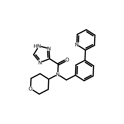 O=C(c1nc[nH]n1)N(Cc1cccc(-c2ccccn2)c1)C1CCOCC1